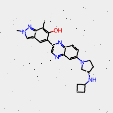 Cc1c(O)c(-c2cnc3cc(N4CCC(NC5CCC5)C4)ccc3n2)cc2cn(C)nc12